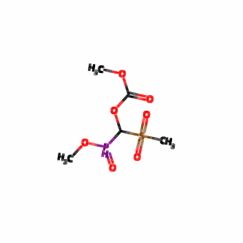 COC(=O)OC([PH](=O)OC)S(C)(=O)=O